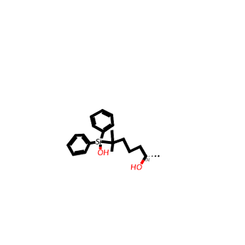 C[C@H](O)CCCC(C)(C)[Si](O)(c1ccccc1)c1ccccc1